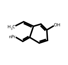 C/C=c1/cc(O)cc/c1=C/CCC